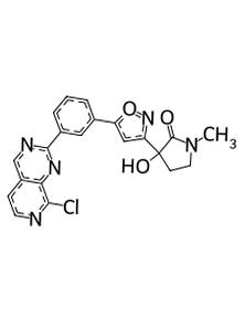 CN1CCC(O)(c2cc(-c3cccc(-c4ncc5ccnc(Cl)c5n4)c3)on2)C1=O